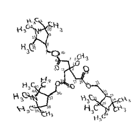 COC(CC(=O)OCC1CC(C)(C)N(C)C1C)(CC(=O)OCC1CC(C)(C)N(C)C1(C)C)CC(=O)OCC1CC(C)(C)N(C)C1(C)C